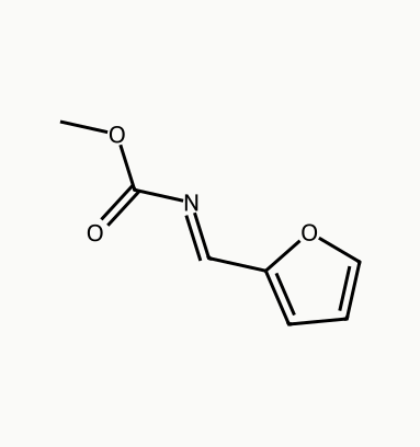 COC(=O)N=Cc1ccco1